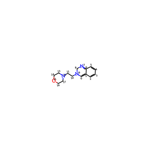 C1=c2ccccc2=NCN1CCN1CCOCC1